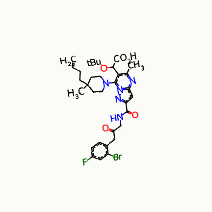 C=CCCC1(C)CCN(c2c(C(OC(C)(C)C)C(=O)O)c(C)nc3cc(C(=O)NCC(=O)Cc4ccc(F)cc4Br)nn23)CC1